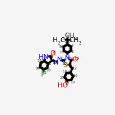 CC(C)(C)c1ccc(N2C(=O)C(=Cc3ccc(O)cc3)SC2=NN=C2C(=O)Nc3ccc(F)cc32)cc1